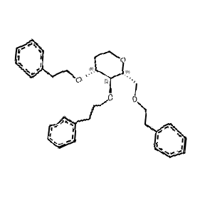 c1ccc(CCOC[C@H]2OCC[C@@H](OCCc3ccccc3)[C@@H]2OCCc2ccccc2)cc1